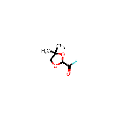 CC1(C)COC(C(=O)F)O1